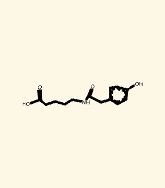 O=C(O)CCCCNC(=O)Cc1ccc(O)cc1